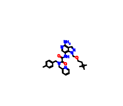 Cc1ccc(CN(Cc2ccccn2)C(=O)C(=O)Nc2cnc(N)c3cnn(COCC[Si](C)(C)C)c23)cc1